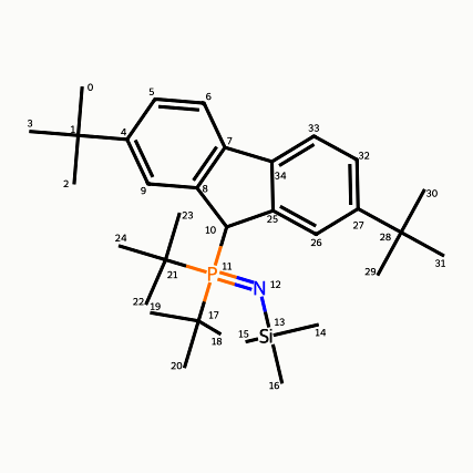 CC(C)(C)c1ccc2c(c1)C(P(=N[Si](C)(C)C)(C(C)(C)C)C(C)(C)C)c1cc(C(C)(C)C)ccc1-2